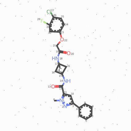 Cn1nc(-c2ccccc2)cc1C(=O)NC12CC(NC(=O)COc3ccc(Cl)c(F)c3)(C1)C2